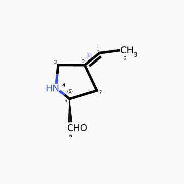 C/C=C1/CN[C@H](C=O)C1